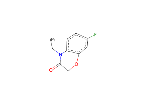 CC(C)CN1C(=O)COc2cc(F)ccc21